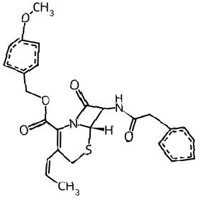 C/C=C\C1=C(C(=O)OCc2ccc(OC)cc2)N2C(=O)C(NC(=O)Cc3ccccc3)[C@@H]2SC1